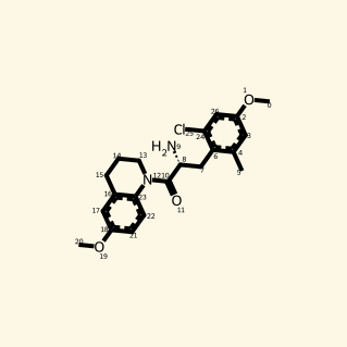 COc1cc(C)c(C[C@@H](N)C(=O)N2CCCc3cc(OC)ccc32)c(Cl)c1